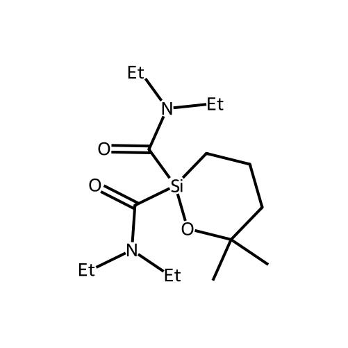 CCN(CC)C(=O)[Si]1(C(=O)N(CC)CC)CCCC(C)(C)O1